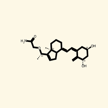 C=C1C(=CC=C2CCC[C@]3(C)C([C@H](C)OCC(N)=O)=CCC23)C[C@@H](O)C[C@@H]1O